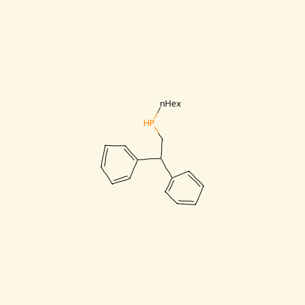 CCCCCCPCC(c1ccccc1)c1ccccc1